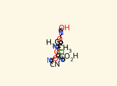 Cc1c(COc2cc(OCc3cncc(C#N)c3)c(CN3CCCC[C@H]3C(=O)O)cc2Cl)cncc1-c1cccc(OCCCN2CC[C@@H](O)C2)c1C